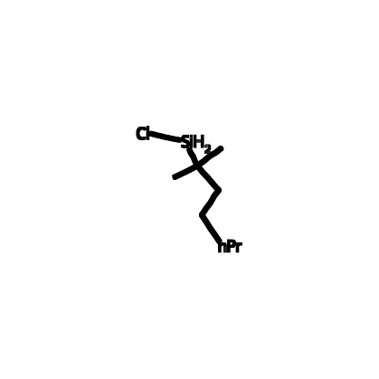 CCCCCC(C)(C)[SiH2]Cl